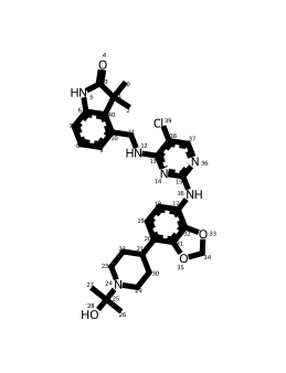 CC1(C)C(=O)Nc2cccc(CNc3nc(Nc4ccc(C5CCN(C(C)(C)O)CC5)c5c4OCO5)ncc3Cl)c21